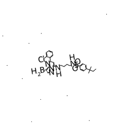 Bc1cnn2c(NCCCCNS(=O)(=O)c3ccc(C(C)(C)CC)cc3)cc(-c3ccccc3Cl)nc12